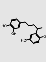 CC(CCCc1ccc(O)c(O)c1)c1cc(O)ccc1O